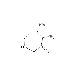 CC1CCNCC(=O)C1N